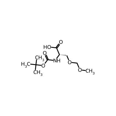 COCOC[C@H](NC(=O)OC(C)(C)C)C(=O)O